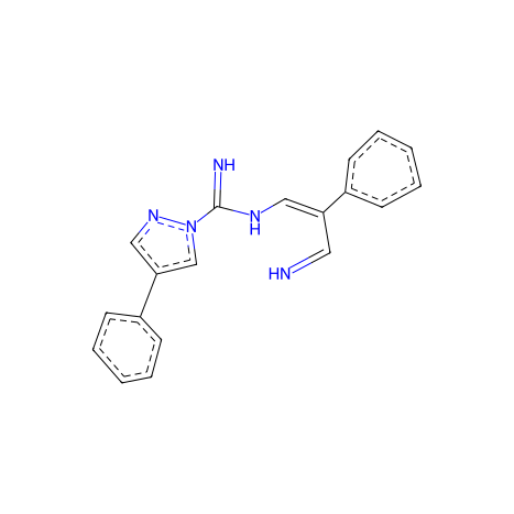 N=C/C(=C\NC(=N)n1cc(-c2ccccc2)cn1)c1ccccc1